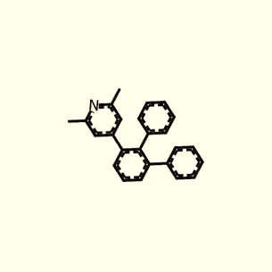 Cc1cc(-c2cccc(-c3ccccc3)c2-c2ccccc2)cc(C)n1